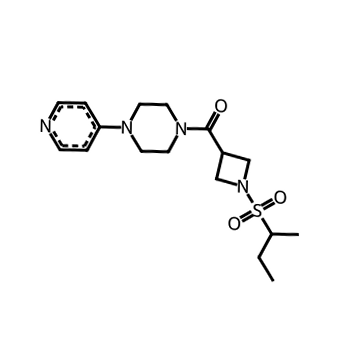 CCC(C)S(=O)(=O)N1CC(C(=O)N2CCN(c3ccncc3)CC2)C1